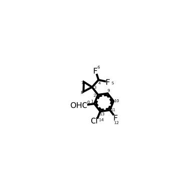 O=Cc1c(C2(C(F)F)CC2)ccc(F)c1Cl